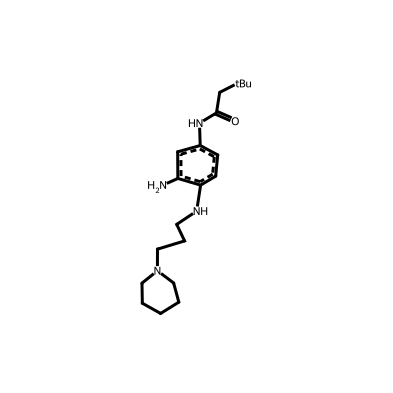 CC(C)(C)CC(=O)Nc1ccc(NCCCN2CCCCC2)c(N)c1